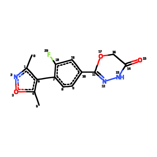 Cc1noc(C)c1-c1ccc(C2=NNC(=O)CO2)cc1F